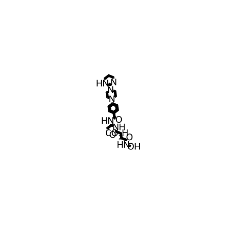 O=C(O)CC(NC(=O)CCC(=O)NO)NC(=O)c1ccc(N2CCN(C3=NCCCN3)CC2)cc1